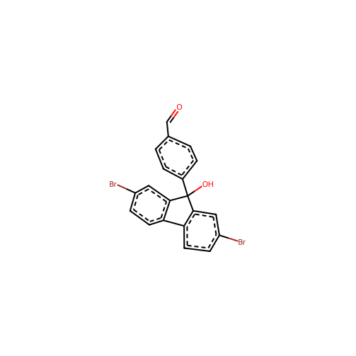 O=Cc1ccc(C2(O)c3cc(Br)ccc3-c3ccc(Br)cc32)cc1